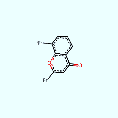 [CH2]Cc1cc(=O)c2cccc(C(C)C)c2o1